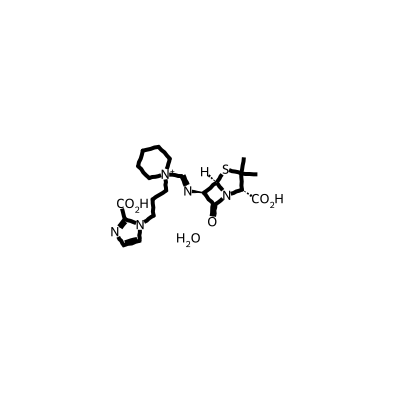 CC1(C)S[C@@H]2[C@H](N=C[N+]3(CCCn4ccnc4C(=O)O)CCCCC3)C(=O)N2[C@H]1C(=O)O.O